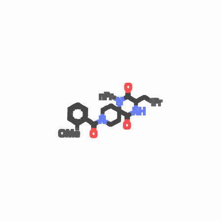 CCCN1C(=O)C(CC(C)C)NC(=O)C12CCN(C(=O)c1ccccc1OC)CC2